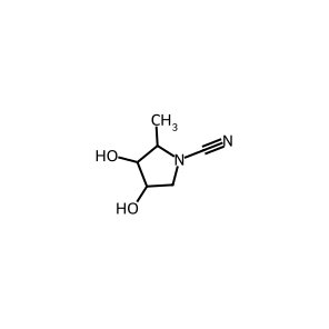 CC1C(O)C(O)CN1C#N